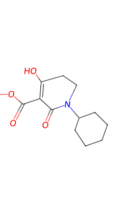 COC(=O)C1=C(O)CCN(C2CCCCC2)C1=O